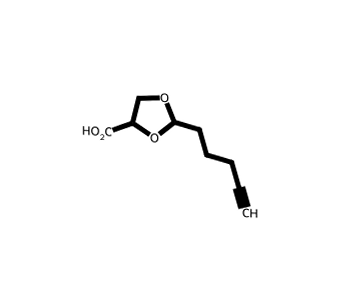 C#CCCCC1OCC(C(=O)O)O1